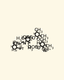 Cc1cc(C)c(O)c(OC(=O)[O-])c1.Cc1cc(C)c(O)c(OC(=O)[O-])c1.Cc1cccc(C)c1N=CC=Nc1c(C(C)C)cccc1C(C)C.[Ni+2]